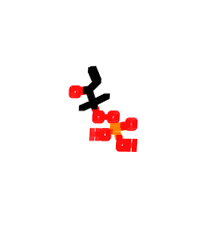 C=CC(=O)C(C)(C)OOP(=O)(O)O